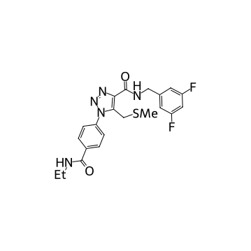 CCNC(=O)c1ccc(-n2nnc(C(=O)NCc3cc(F)cc(F)c3)c2CSC)cc1